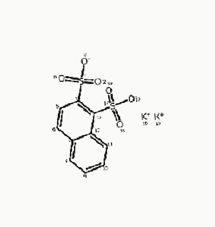 O=S(=O)([O-])c1ccc2ccccc2c1S(=O)(=O)[O-].[K+].[K+]